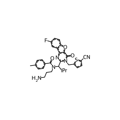 Cc1ccc(C(=O)N(CCCN)C(c2nc3c(oc4ccc(F)cc43)c(=O)n2Cc2ccc(C#N)s2)C(C)C)cc1